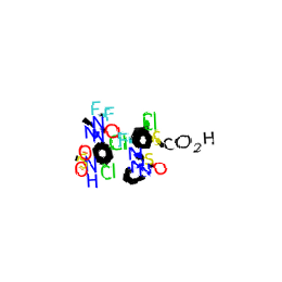 Cc1nn(-c2cc(NS(C)(=O)=O)c(Cl)cc2Cl)c(=O)n1C(F)F.O=C(O)CSc1cc(N=c2sc(=O)n3n2CCCC3)c(F)cc1Cl